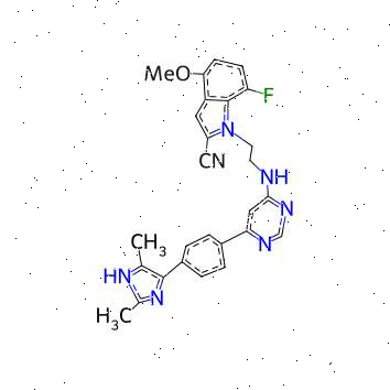 COc1ccc(F)c2c1cc(C#N)n2CCNc1cc(-c2ccc(-c3nc(C)[nH]c3C)cc2)ncn1